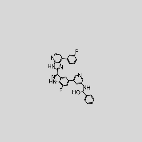 OC(Nc1cncc(-c2cc(F)c3[nH]nc(-c4nc5c(-c6cccc(F)c6)ccnc5[nH]4)c3c2)c1)c1ccccc1